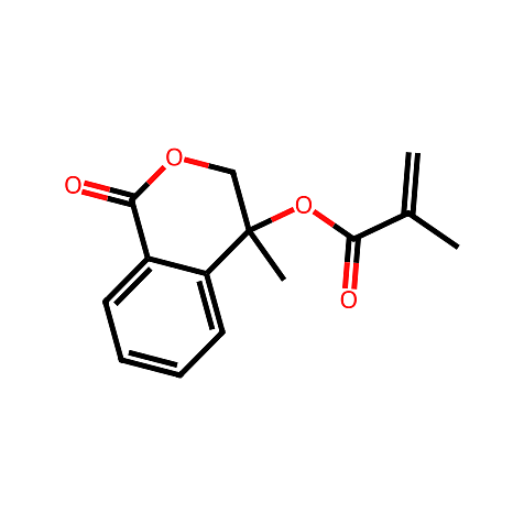 C=C(C)C(=O)OC1(C)COC(=O)c2ccccc21